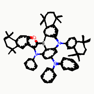 CC1(C)CCC(C)(C)c2cc(N3c4cc5c(cc4B4c6oc7cc8c(cc7c6N(c6ccccc6)c6cc(N(c7ccccc7)c7ccccc7)cc3c64)C(C)(C)CCC8(C)C)C(C)(C)CCC5(C)C)ccc21